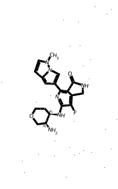 Cn1ccc2cc(-c3nc(N[C@@H]4CCOC[C@@H]4N)c(F)c4c3C(=O)NC4)cn21